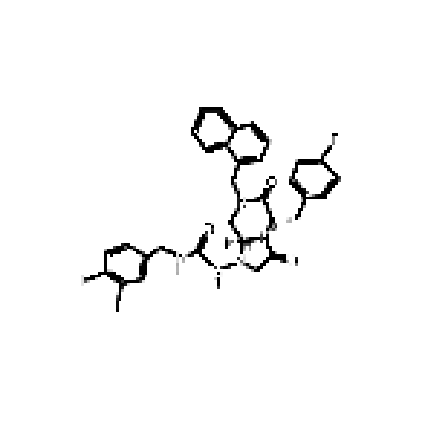 CN(C(=O)NCc1ccc(I)c(I)c1)N1CC(=O)N2[C@@H](Cc3ccc(F)cc3)C(=O)N(Cc3cccc4ccccc34)C[C@@H]21